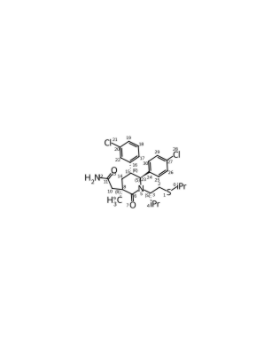 CC(C)SC[C@H](C(C)C)N1C(=O)[C@@](C)(CC(N)=O)C[C@H](c2cccc(Cl)c2)[C@H]1c1ccc(Cl)cc1